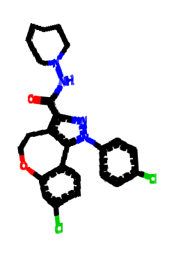 O=C(NN1CCCCC1)c1nn(-c2ccc(Cl)cc2)c2c1CCOc1cc(Cl)ccc1-2